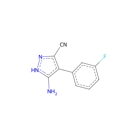 N#Cc1n[nH]c(N)c1-c1cccc(F)c1